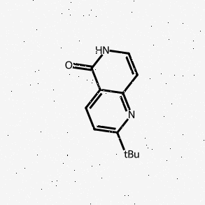 CC(C)(C)c1ccc2c(=O)[nH]ccc2n1